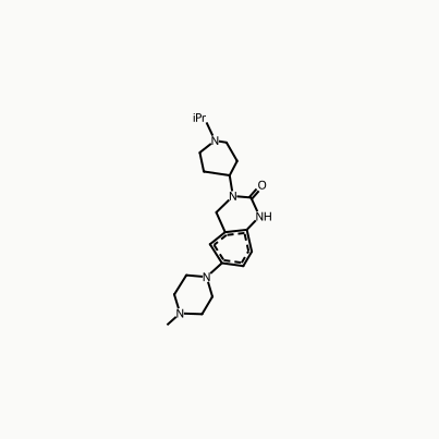 CC(C)N1CCC(N2Cc3cc(N4CCN(C)CC4)ccc3NC2=O)CC1